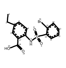 CCc1ccc(NS(=O)(=O)c2ccccc2Br)c(C(=O)O)c1